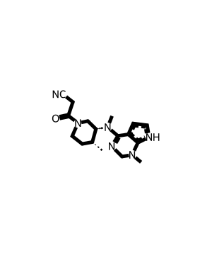 C[C@@H]1CCN(C(=O)CC#N)C[C@@H]1N(C)C1=NCN(C)c2[nH]ccc21